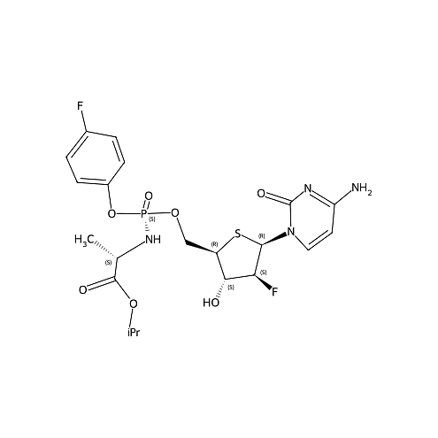 CC(C)OC(=O)[C@H](C)N[P@](=O)(OC[C@H]1S[C@@H](n2ccc(N)nc2=O)[C@@H](F)[C@@H]1O)Oc1ccc(F)cc1